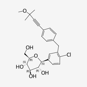 COC(C)(C)C#Cc1ccc(Cc2cc([C@@H]3O[C@H](CO)[C@@H](O)[C@H](O)[C@H]3O)ccc2Cl)cc1